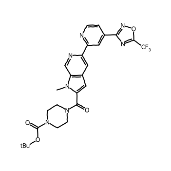 Cn1c(C(=O)N2CCN(C(=O)OC(C)(C)C)CC2)cc2cc(-c3cc(-c4noc(C(F)(F)F)n4)ccn3)ncc21